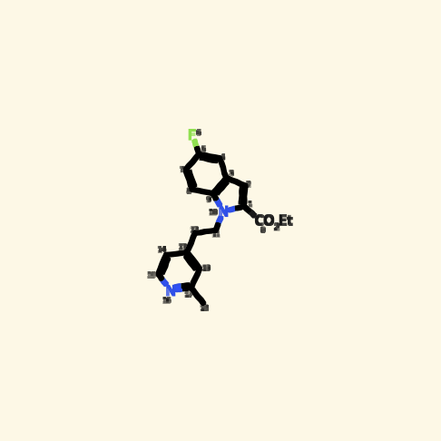 CCOC(=O)c1cc2cc(F)ccc2n1CCc1ccnc(C)c1